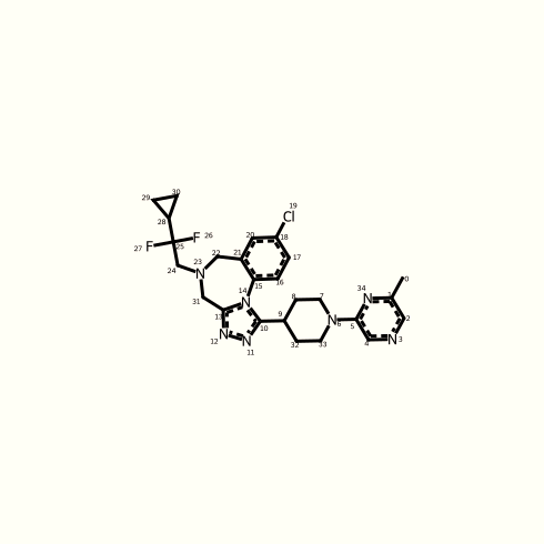 Cc1cncc(N2CCC(c3nnc4n3-c3ccc(Cl)cc3CN(CC(F)(F)C3CC3)C4)CC2)n1